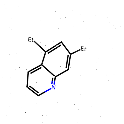 CCc1cc(CC)c2cccnc2c1